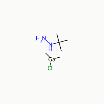 CC(C)(C)NN.[CH3][Ga]([CH3])[Cl]